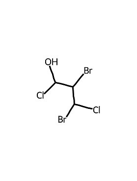 OC(Cl)C(Br)C(Cl)Br